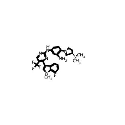 CN(C)[C@@H]1CCN(c2ccc(Nc3ncc(C(F)(F)F)c(-c4cn(C)c5c(F)cccc45)n3)cc2N)C1